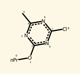 CCCOc1nc(C)nc(Cl)n1